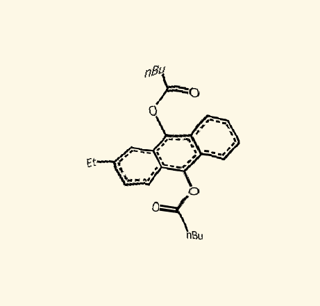 CCCCC(=O)Oc1c2ccccc2c(OC(=O)CCCC)c2cc(CC)ccc12